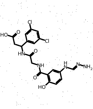 NN=CNc1ccc(O)c(C(=O)NCC(=O)NC(CC(=O)O)c2cc(Cl)cc(Cl)c2)c1